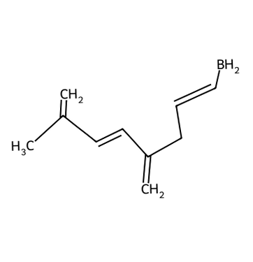 B/C=C/CC(=C)/C=C/C(=C)C